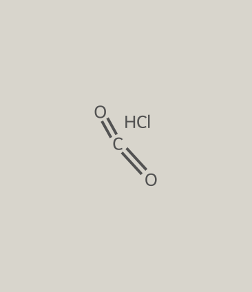 Cl.O=C=O